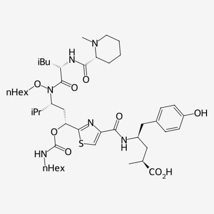 CCCCCCNC(=O)O[C@H](C[C@H](C(C)C)N(OCCCCCC)C(=O)[C@@H](NC(=O)[C@H]1CCCCN1C)[C@@H](C)CC)c1nc(C(=O)N[C@@H](Cc2ccc(O)cc2)C[C@H](C)C(=O)O)cs1